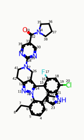 CCc1cccc(CC)c1-n1nc2c(c1-c1c(F)cc(Cl)c3[nH]ccc13)CN(c1ncc(C(=O)N3CCCC3)cn1)CC2